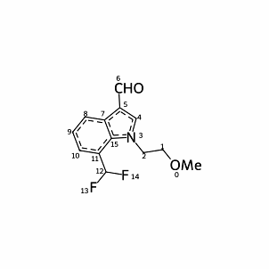 COCCn1cc(C=O)c2cccc(C(F)F)c21